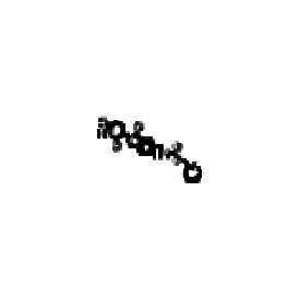 O=C1CCC(N2Cc3ccc(CNC(=O)OCC4CCCCS4)cc3C2=O)C(=O)N1